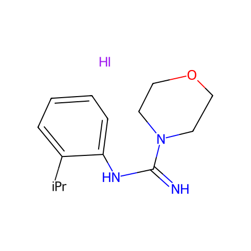 CC(C)c1ccccc1NC(=N)N1CCOCC1.I